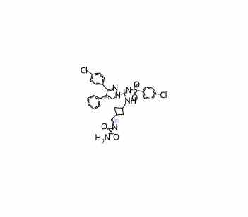 NS(=O)(=O)/N=C/C1CC(N/C(=N\S(=O)(=O)c2ccc(Cl)cc2)N2C[C@@H](c3ccccc3)C(c3ccc(Cl)cc3)=N2)C1